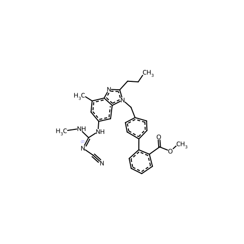 CCCc1nc2c(C)cc(N/C(=N\C#N)NC)cc2n1Cc1ccc(-c2ccccc2C(=O)OC)cc1